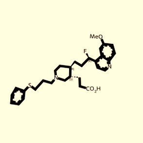 COc1ccc2nccc([C@H](F)CC[C@@H]3CCN(CCCSc4ccccc4)C[C@H]3CCC(=O)O)c2c1